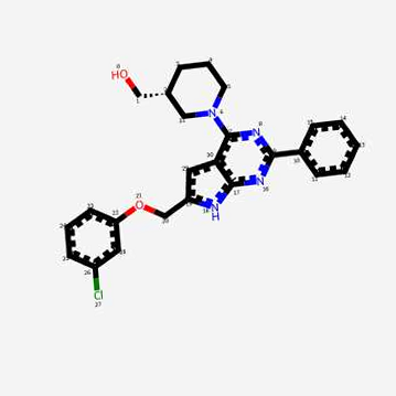 OC[C@@H]1CCCN(c2nc(-c3ccccc3)nc3[nH]c(COc4cccc(Cl)c4)cc23)C1